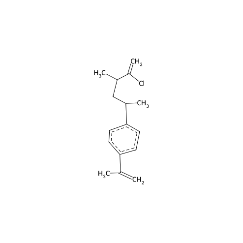 C=C(C)c1ccc(C(C)CC(C)C(=C)Cl)cc1